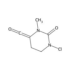 CN1C(=O)N(Cl)CCC1=C=O